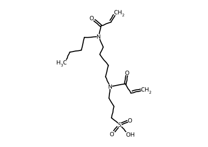 C=CC(=O)N(CCCC)CCCCN(CCCS(=O)(=O)O)C(=O)C=C